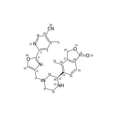 Cc1cc(-c2nc(CN3CCN[C@H](c4ccc5c(c4C)COC5=O)C3)co2)ncc1C#N